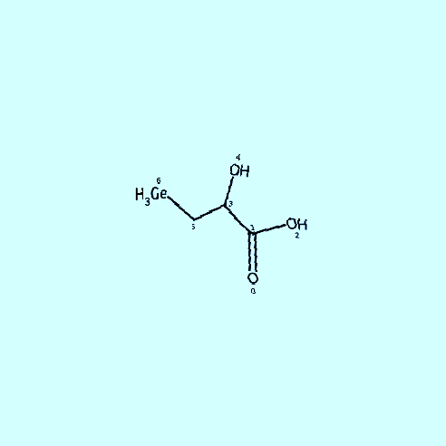 O=C(O)C(O)[CH2][GeH3]